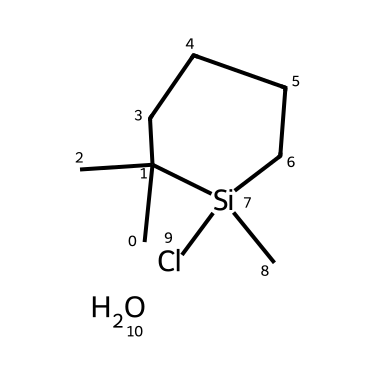 CC1(C)CCCC[Si]1(C)Cl.O